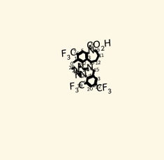 Cc1cc2c(cc1C(F)(F)F)N(C(=O)O)CCCC2N(Cc1cc(C(F)(F)F)cc(C(F)(F)F)c1)c1nnn(C)n1